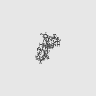 Cc1ccc2c(OCC(=O)N3CCCC3C(=O)NC3CCC3)cc(C(=O)NC(CCC(=O)OCC3CCCC3)C(=O)N3CCN(C(=O)OCC4CC4)CC3)nc2c1